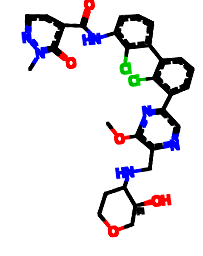 COc1nc(-c2cccc(-c3cccc(NC(=O)c4ccnn(C)c4=O)c3Cl)c2Cl)cnc1CNC1CCOC[C@@H]1O